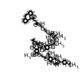 COc1ccc(C2=CN3C(O)c4cc(OC)c(OCCCOc5cc6c(cc5OC)C(=O)N5CC7(CC7)C[C@H]5[C@H](O)N6C(=O)OCc5ccc(NC(=O)[C@H](C)NC(=O)[C@@H](NC(=O)COCCOCCNC(=O)CCC(=O)N6Cc7ccccc7C#Cc7ccccc76)C(C)C)cc5)cc4NC[C@@H]3C2)cc1